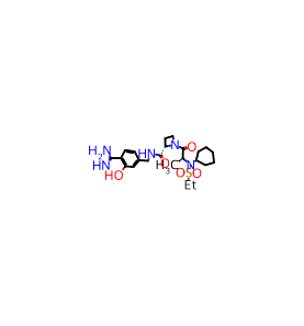 CCS(=O)(=O)N(C1CCCCC1)[C@@H](C)C(=O)N1CC[C@H]1C(=O)NCc1ccc(C(=N)N)c(O)c1